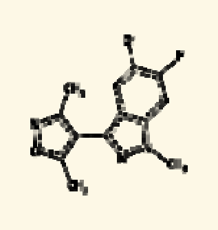 Cc1noc(C)c1-c1nn(C)c2cc(F)c(Br)cc12